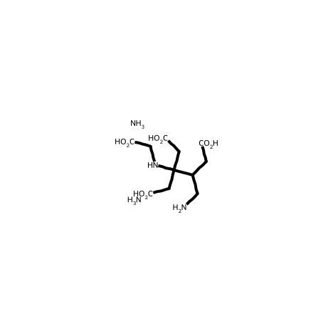 N.N.NCC(CC(=O)O)C(CC(=O)O)(CC(=O)O)NCC(=O)O